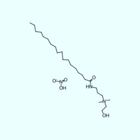 CCCCCCCCCCCCCCCCCC(=O)NCCC[N+](C)(C)CCO.O=[N+]([O-])O